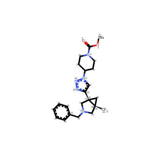 CC(C)(C)OC(=O)N1CCC(n2cc([C@]34CN(Cc5ccccc5)C[C@@]3(C(F)(F)F)C4)nn2)CC1